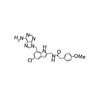 COc1ccc(CC(=O)NCc2cc3cc(Cl)cc(Cn4cnc5c(N)ncnc54)c3[nH]2)cc1